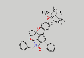 CC(C)[Si](Oc1ccc2c(c1)OC1(CCCC1)c1c-2cc(-c2ccccc2)c2c1C(=O)N(Cc1ccccc1)C2=O)(C(C)C)C(C)C